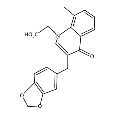 Cc1cccc2c(=O)c(Cc3ccc4c(c3)OCO4)cn(CC(=O)O)c12